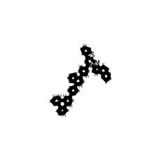 c1ccc2c(c1)ccc1c2ccc2c1nc1c3sc4ccccc4c3cc(-c3ccc(-c4ccc(-c5ccc(-c6ccc7c8ccccc8c8ccccc8c7c6)cc5)c5ccccc45)cc3)n21